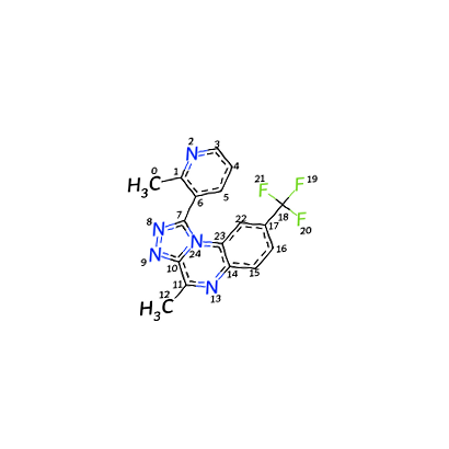 Cc1ncccc1-c1nnc2c(C)nc3ccc(C(F)(F)F)cc3n12